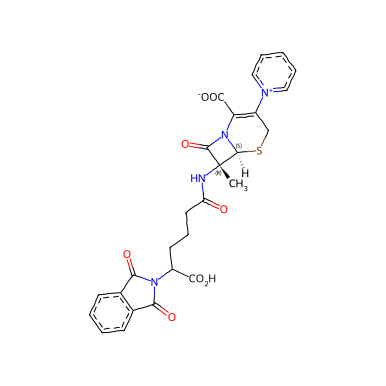 C[C@@]1(NC(=O)CCCC(C(=O)O)N2C(=O)c3ccccc3C2=O)C(=O)N2C(C(=O)[O-])=C([n+]3ccccc3)CS[C@H]21